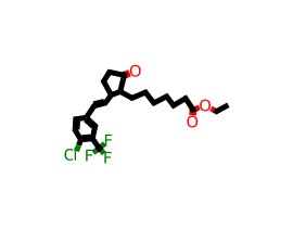 CCOC(=O)CCCCCCC1C(=O)CCC1C=Cc1ccc(Cl)c(C(F)(F)F)c1